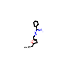 CC(=O)OCc1ccc(/C=N/N=C(\N)c2ccccc2)o1